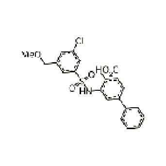 COCc1cc(Cl)cc(S(=O)(=O)Nc2cc(-c3ccccc3)ccc2C(=O)O)c1